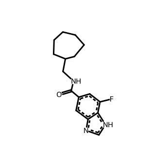 O=C(NCC1CCCCCC1)c1cc(F)c2[nH]cnc2c1